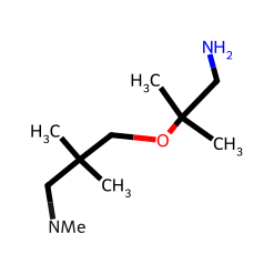 CNCC(C)(C)COC(C)(C)CN